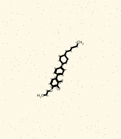 CCCCCC1CCC(c2ccc(-c3ccc(OCCC)c(F)c3F)cc2)CC1